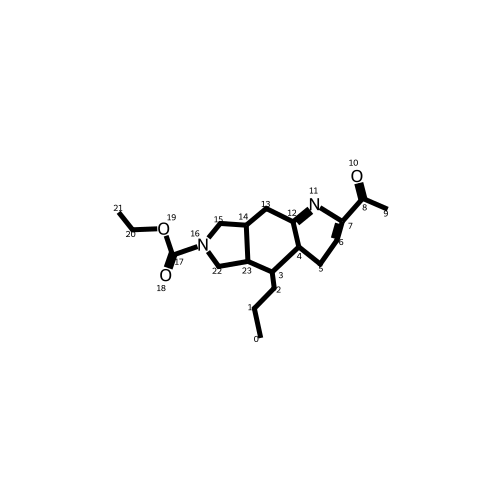 CCCC1C2CC=C(C(C)=O)N=C2CC2CN(C(=O)OCC)CC21